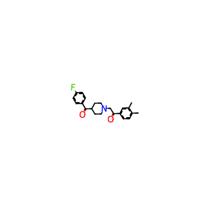 Cc1ccc(C(=O)CN2CCC(C(=O)c3ccc(F)cc3)CC2)cc1C